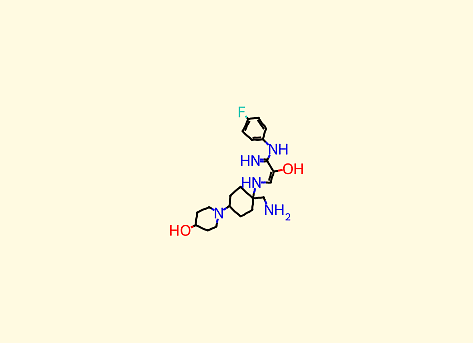 N=C(Nc1ccc(F)cc1)/C(O)=C\NC1(CN)CCC(N2CCC(O)CC2)CC1